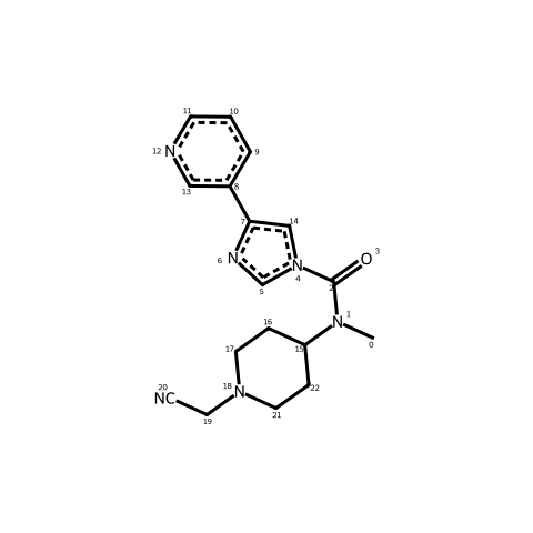 CN(C(=O)n1cnc(-c2cccnc2)c1)C1CCN(CC#N)CC1